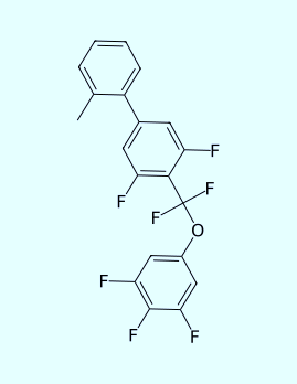 Cc1ccccc1-c1cc(F)c(C(F)(F)Oc2cc(F)c(F)c(F)c2)c(F)c1